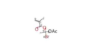 C=C(C)C(=O)OC(C)(Br)OC(C)=O